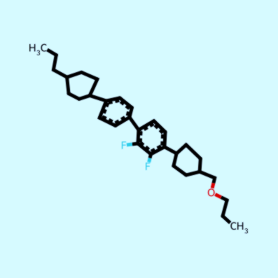 CCCOCC1CCC(c2ccc(-c3ccc(C4CCC(CCC)CC4)cc3)c(F)c2F)CC1